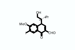 COc1cc2c(cc1I)C(=O)C(C=O)=CC2[C@H](CO)C(C)C